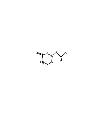 C=C1CN(CC(C)C)CCN1